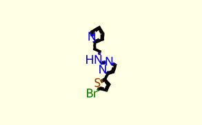 Brc1ccc(-c2ccnc(NCCc3ccccn3)n2)s1